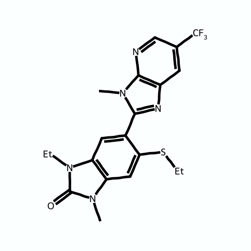 CCSc1cc2c(cc1-c1nc3cc(C(F)(F)F)cnc3n1C)n(CC)c(=O)n2C